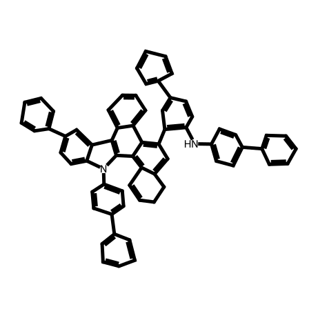 C1=Cc2c(cc(-c3cc(-c4ccccc4)ccc3Nc3ccc(-c4ccccc4)cc3)c3c4ccccc4c4c5cc(-c6ccccc6)ccc5n(-c5ccc(-c6ccccc6)cc5)c4c23)CC1